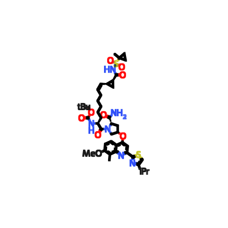 COc1ccc2c(O[C@@H]3C[C@@H](C(N)=O)N(C(=O)[C@H](CCCCC/C=C\[C@@H]4C[C@@H]4C(=O)NS(=O)(=O)C4(C)CC4)NC(=O)OC(C)(C)C)C3)cc(-c3nc(C(C)C)cs3)nc2c1C